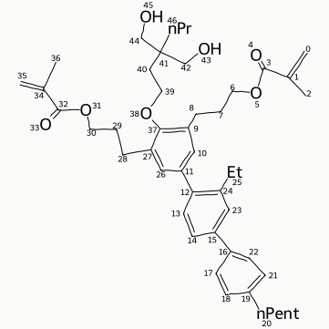 C=C(C)C(=O)OCCCc1cc(-c2ccc(-c3ccc(CCCCC)cc3)cc2CC)cc(CCCOC(=O)C(=C)C)c1OCCC(CO)(CO)CCC